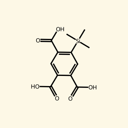 C[Si](C)(C)c1cc(C(=O)O)c(C(=O)O)cc1C(=O)O